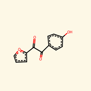 O=C(C(=O)c1ccco1)c1ccc(O)cc1